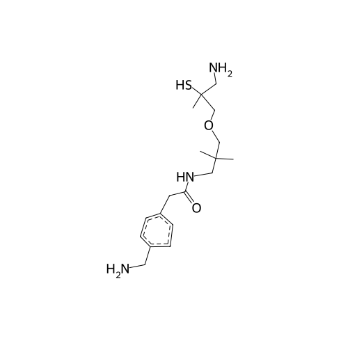 CC(C)(CNC(=O)Cc1ccc(CN)cc1)COCC(C)(S)CN